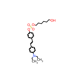 CCN(CC)c1ccc(C=Cc2ccc(OS(=O)(=O)OCCCCCCO)cc2)cc1